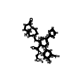 CCOC(=O)C1=C(CN2CCN3C(=O)CC[C@@H]3C2)NC(c2nccs2)=N[C@H]1c1ccc(F)c(F)c1